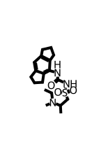 CCN(C)C(C)CS(=O)(=O)NC(=O)Nc1c2c(cc3c1CCC3)CCC2